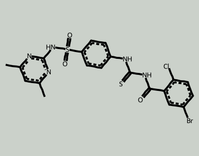 Cc1cc(C)nc(NS(=O)(=O)c2ccc(NC(=S)NC(=O)c3cc(Br)ccc3Cl)cc2)n1